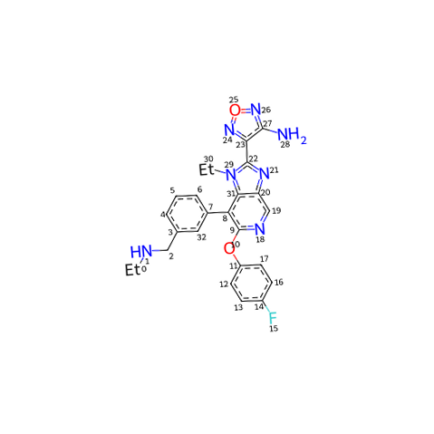 CCNCc1cccc(-c2c(Oc3ccc(F)cc3)ncc3nc(-c4nonc4N)n(CC)c23)c1